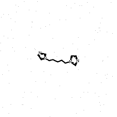 c1cn(CCCCCn2ccnc2)cn1